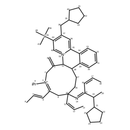 C=C1C/[N+](C(C)C)=C(/C=C/C)CC(/C=C\C)(/N=C(\C=C/C)C(C)C2CCCC2)CCC2c3ccccc3-c3cc(CC4CCCC4)c([Si](C)(C)C)c[n+]3C12